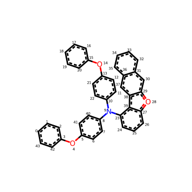 c1ccc(Oc2ccc(N(c3ccc(Oc4ccccc4)cc3)c3cccc4oc5cc6ccccc6cc5c34)cc2)cc1